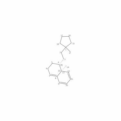 CC1(CC[C@H]2CCC=C3C=CC=C[C@@]32C)CCCC1